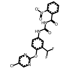 O=C(NC(=O)c1ccccc1[N+](=O)[O-])Nc1ccc(Oc2ncc(Cl)cn2)c(C(F)F)c1